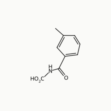 Cc1cccc(C(=O)NC(=O)O)c1